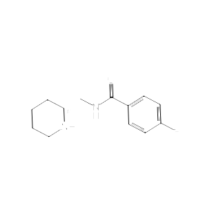 O=C(NC[C@H]1CCCCN1)c1ccc(F)cc1